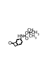 CC(C)(C)OC(=O)Nc1ccc2c(c1)C(=O)C2